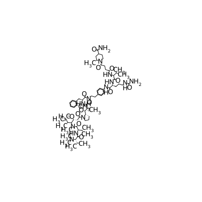 CC[C@H](C)[C@@H]([C@@H](CC(=O)N1CCC[C@H]1[C@H](OC)[C@@H](C)C(=O)N[C@@H](Cc1ccccc1)C(=O)NCCc1ccc(NC(=O)[C@H](CCCNC(N)=O)NC(=O)[C@@H](NC(=O)CCC(=O)N2CCC(C(N)=O)CC2C)C(C)C)cc1)OC)N(C)C(=O)[C@@H](NC(=O)[C@H](C(C)C)N(C)C)C(C)C